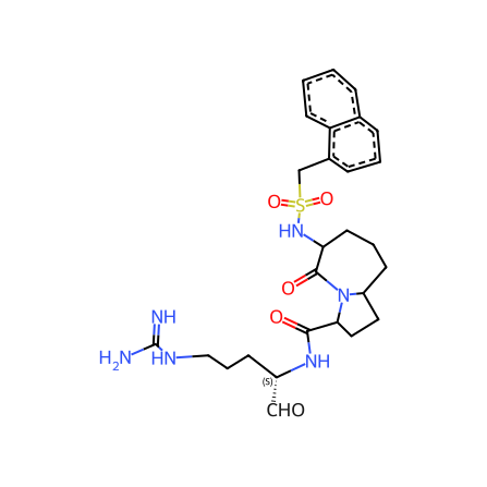 N=C(N)NCCC[C@@H](C=O)NC(=O)C1CCC2CCCC(NS(=O)(=O)Cc3cccc4ccccc34)C(=O)N21